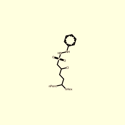 CCCCCCC(CCCCC)CCC(Cl)CS(=O)(=O)NNc1ccccc1